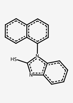 Sc1nc2ccccc2n1-c1cccc2ccccc12